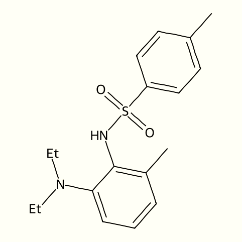 CCN(CC)c1cccc(C)c1NS(=O)(=O)c1ccc(C)cc1